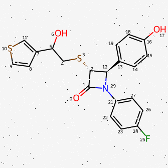 O=C1[C@H](SCC(O)c2ccsc2)[C@@H](c2ccc(O)cc2)N1c1ccc(F)cc1